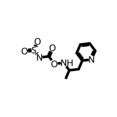 CC(Cc1ccccn1)NOC(=O)N=S(=O)=O